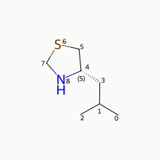 CC(C)C[C@H]1CSCN1